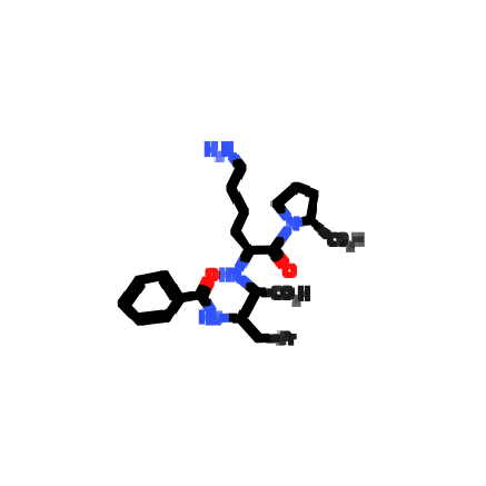 CC(C)CC(NC(=O)c1ccccc1)C(N[C@@H](CCCCN)C(=O)N1CCC[C@H]1C(=O)O)C(=O)O